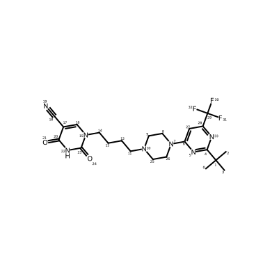 CC(C)(C)c1nc(N2CCN(CCCCn3cc(C#N)c(=O)[nH]c3=O)CC2)cc(C(F)(F)F)n1